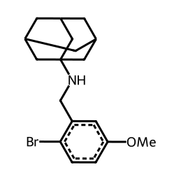 COc1ccc(Br)c(CNC23CC4CC(CC(C4)C2)C3)c1